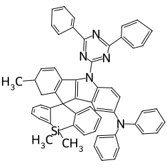 CC1C=CC2=C(C1)C1(c3ccccc3[Si](C)(C)c3ccccc31)c1c2n(-c2nc(-c3ccccc3)nc(-c3ccccc3)n2)c2ccc(N(c3ccccc3)c3ccccc3)cc12